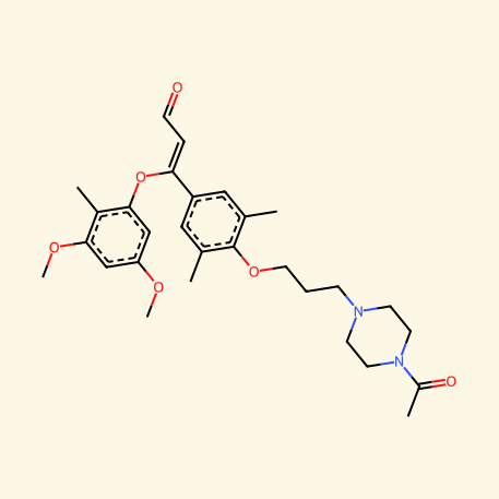 COc1cc(OC)c(C)c(O/C(=C\C=O)c2cc(C)c(OCCCN3CCN(C(C)=O)CC3)c(C)c2)c1